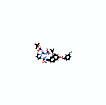 CC(C)(C)OC(=O)/N=C(/NC(=O)OC(C)(C)C)N1CCC[C@H]1c1nc(-c2ccc3cc(OCc4cccc(Cl)c4)ccc3c2)no1